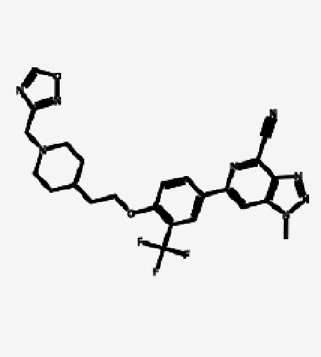 Cn1nnc2c(C#N)nc(-c3ccc(OCCC4CCN(Cc5ncon5)CC4)c(C(F)(F)F)c3)cc21